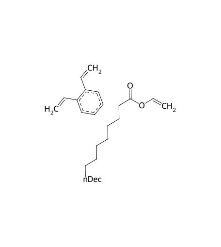 C=COC(=O)CCCCCCCCCCCCCCCCC.C=Cc1ccccc1C=C